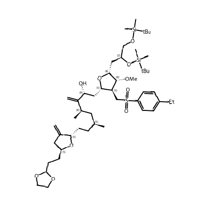 C=C([C@H](C)C[C@@H](C)CC[C@@H]1O[C@@H](CCC2OCCO2)CC1=C)[C@H](O)C[C@@H]1O[C@H](C[C@@H](CO[Si](C)(C)C(C)(C)C)O[Si](C)(C)C(C)(C)C)[C@H](OC)[C@H]1CS(=O)(=O)c1ccc(CC)cc1